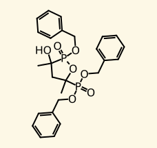 CC1(O)CC(C)(P(=O)(OCc2ccccc2)OCc2ccccc2)OP1(=O)OCc1ccccc1